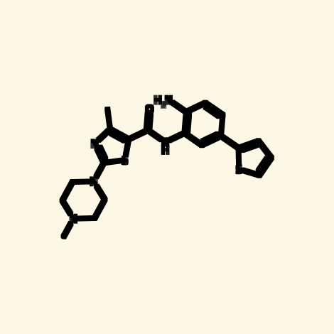 Cc1nc(N2CCN(C)CC2)sc1C(=O)Nc1cc(-c2cccs2)ccc1N